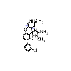 C=C/C=C1\C(=C/N)Oc2ccc(-c3cccc(Cl)c3)cc2C12N=C(N)N(C)C2=O